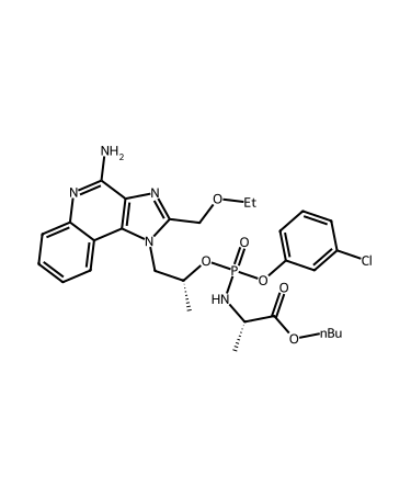 CCCCOC(=O)[C@H](C)NP(=O)(Oc1cccc(Cl)c1)O[C@H](C)Cn1c(COCC)nc2c(N)nc3ccccc3c21